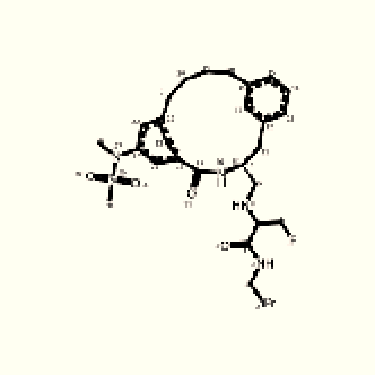 CC(C)CNC(=O)C(CF)NC[C@@H]1Cc2cccc(c2)CCCCc2cc(cc(N(C)S(C)(=O)=O)c2)C(=O)N1